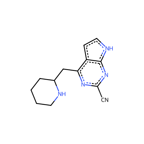 N#Cc1nc(CC2CCCCN2)c2cc[nH]c2n1